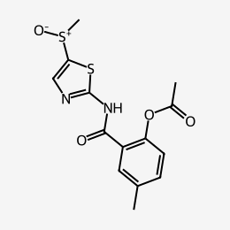 CC(=O)Oc1ccc(C)cc1C(=O)Nc1ncc([S+](C)[O-])s1